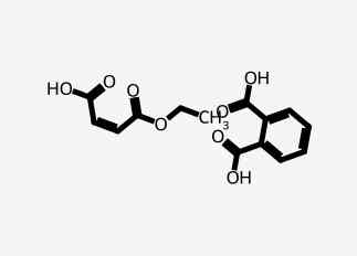 CCOC(=O)/C=C\C(=O)O.O=C(O)c1ccccc1C(=O)O